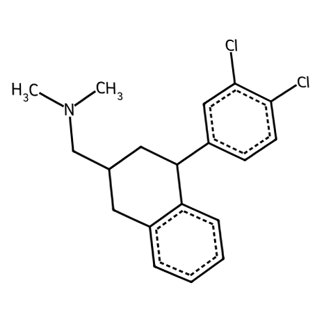 CN(C)CC1Cc2ccccc2C(c2ccc(Cl)c(Cl)c2)C1